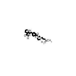 CN(C)CCCN1CCCN(C(=O)C2(F)C=CC(Cc3n[nH]c(=O)c4c3NCCC4)=CC2)C1